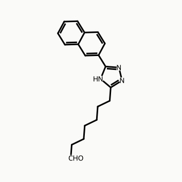 O=CCCCCCCc1nnc(-c2ccc3ccccc3c2)[nH]1